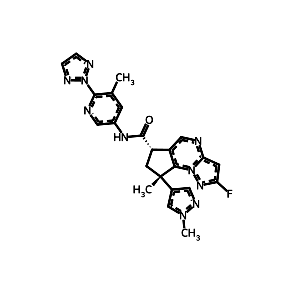 Cc1cc(NC(=O)[C@H]2C[C@@](C)(c3cnn(C)c3)c3c2cnc2cc(F)nn32)cnc1-n1nccn1